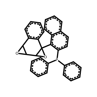 c1ccc(P(c2ccccc2)c2ccc3ccccc3c2C23OC2C2OC2c2ccccc23)cc1